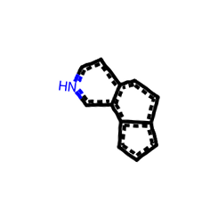 c1cc2ccc3cc[nH]cc3c2c1